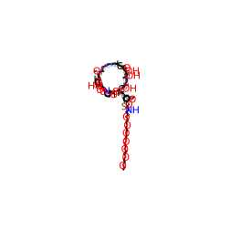 CCOCCOCCOCCOCCOCCOCCOCCNC(=S)O[C@@H]1CC[C@@H](C[C@@H](C)[C@@H]2C[C@@H](O)[C@H](C)/C=C(\C)[C@@H](O)[C@@H](O)C(=O)[C@H](C)C[C@H](C)/C=C/C=C/C=C(\C)[C@@H](OC)C[C@@H]3CC[C@@H](C)[C@@](O)(O3)C(=O)C(=O)N3CCCC[C@H]3C(=O)O2)C[C@H]1OC